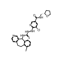 O=C(NC[C@@H]1CCCO1)c1cnc(NNC(=S)NC2c3cnccc3CCc3c(F)cccc32)c(Cl)c1